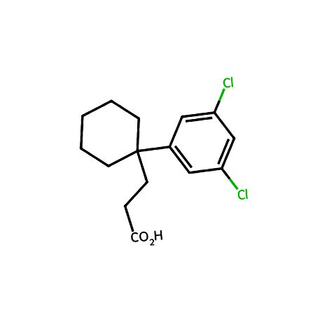 O=C(O)CCC1(c2cc(Cl)cc(Cl)c2)CCCCC1